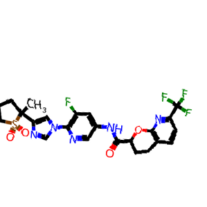 CC1(c2cn(-c3ncc(NC(=O)C4CCc5ccc(C(F)(F)F)nc5O4)cc3F)cn2)CCCS1(=O)=O